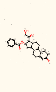 C[C@]12CCC3C(CCC4=CC(=O)CC[C@@]43C)C1C[C@@H](OC(=O)c1ccccc1)C2C(=O)CO